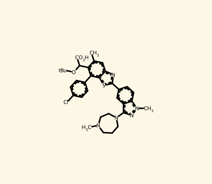 Cc1cc2nc(-c3ccc4c(c3)c(N3CCCN(C)CC3)nn4C)sc2c(-c2ccc(Cl)cc2)c1C(OC(C)(C)C)C(=O)O